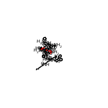 CCCCCCCC(=O)NCCCC[C@H](NC(=O)[C@@H](N)Cc1cn(C(c2ccccc2)(c2ccccc2)c2ccccc2)cn1)C(=O)N[C@@H](Cc1ccccc1)C(=O)N[C@@H](Cc1ccc(O)cc1)C(=O)N[C@@H](CO)C(=O)N[C@@H](Cc1c[nH]cn1)C(=O)N[C@@H](CCC(N)=O)C(=O)N[C@@H](CCC(N)=O)C(=O)N[C@@H](C)C(=O)N[C@@H](CCCNC(=N)N)C(=O)N[C@@H](Cc1ccccc1)C(N)=O